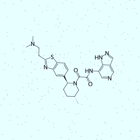 C[C@@H]1CC[C@@H](c2ccc3sc(CCN(C)C)nc3c2)N(C(=O)C(=O)Nc2cncc3cn[nH]c23)C1